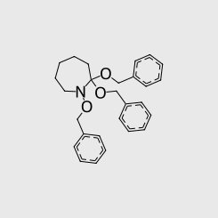 c1ccc(CON2CCCCCC2(OCc2ccccc2)OCc2ccccc2)cc1